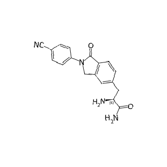 N#Cc1ccc(N2Cc3cc(C[C@H](N)C(N)=O)ccc3C2=O)cc1